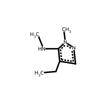 CCc1cnn(C)c1NC